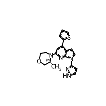 C[C@@H]1COCCN1c1cc(-c2cccs2)c2ccn(-c3cc[nH]n3)c2n1